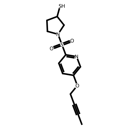 CC#CCOc1ccc(S(=O)(=O)N2CCC(S)C2)nc1